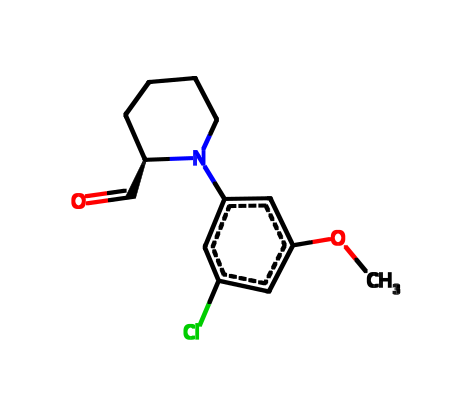 COc1cc(Cl)cc(N2CCCC[C@@H]2C=O)c1